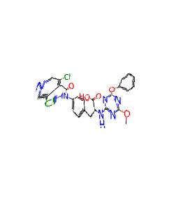 COc1nc(N[C@@H](Cc2ccc(NC(=O)c3c(Cl)cncc3Cl)cc2)C(=O)O)nc(Oc2ccccc2)n1